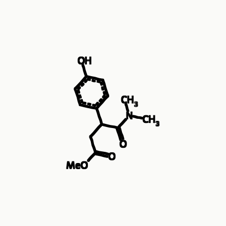 COC(=O)CC(C(=O)N(C)C)c1ccc(O)cc1